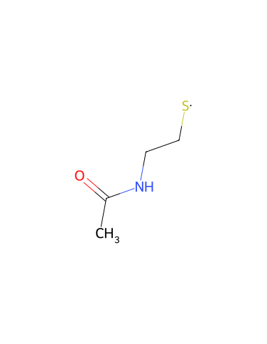 CC(=O)NCC[S]